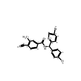 Cc1cc(C(=O)N[C@H](c2ccc(Cl)cc2)c2ccc(Br)cn2)ccc1C#N